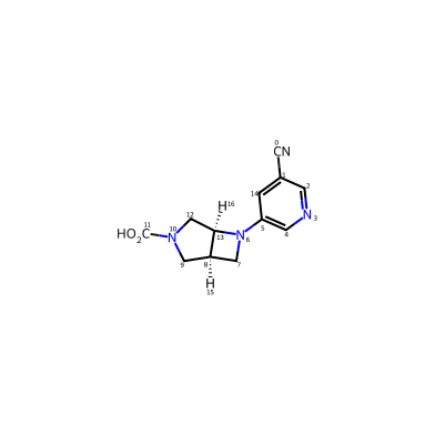 N#Cc1cncc(N2C[C@H]3CN(C(=O)O)C[C@H]32)c1